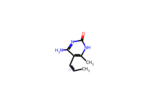 C/C=C\c1c(N)nc(=O)[nH]c1C